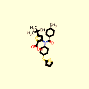 CC(C)(C)c1cc(N(C(=O)[C@H]2CC[C@H](C)CC2)[C@H]2CC[C@H](Sc3cccs3)CC2)c(C(=O)O)s1